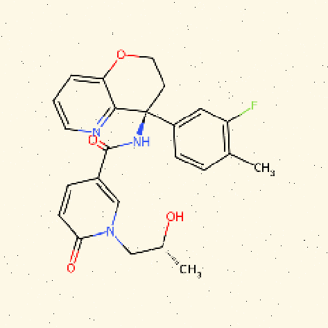 Cc1ccc([C@@]2(NC(=O)c3ccc(=O)n(C[C@@H](C)O)c3)CCOc3cccnc32)cc1F